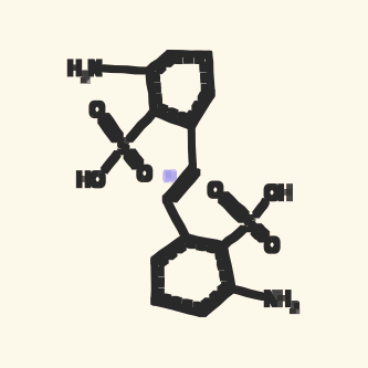 Nc1cccc(/C=C/c2cccc(N)c2S(=O)(=O)O)c1S(=O)(=O)O